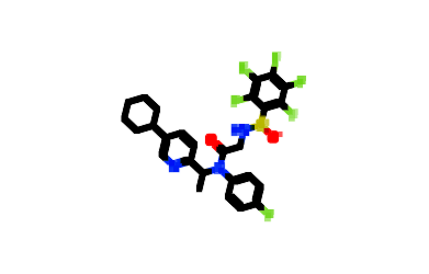 CC(c1ccc(C2CCCCC2)cn1)N(C(=O)CN[S+]([O-])c1c(F)c(F)c(F)c(F)c1F)c1ccc(F)cc1